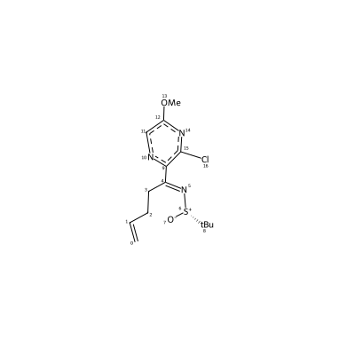 C=CCCC(=N[S@@+]([O-])C(C)(C)C)c1ncc(OC)nc1Cl